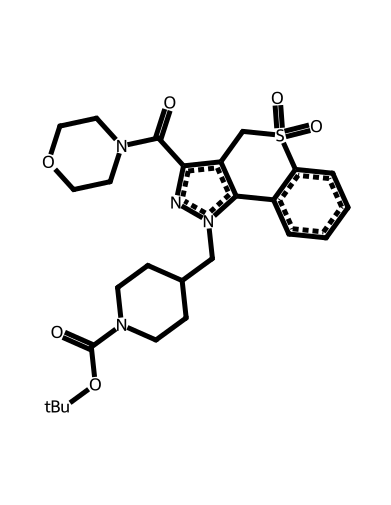 CC(C)(C)OC(=O)N1CCC(Cn2nc(C(=O)N3CCOCC3)c3c2-c2ccccc2S(=O)(=O)C3)CC1